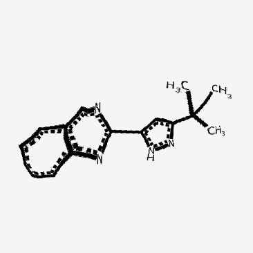 CC(C)(C)c1cc(-c2ncc3ccccc3n2)[nH]n1